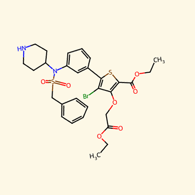 CCOC(=O)COc1c(C(=O)OCC)sc(-c2cccc(N(C3CCNCC3)S(=O)(=O)Cc3ccccc3)c2)c1Br